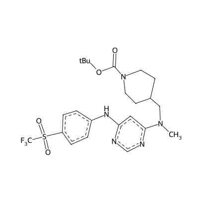 CN(CC1CCN(C(=O)OC(C)(C)C)CC1)c1cc(Nc2ccc(S(=O)(=O)C(F)(F)F)cc2)ncn1